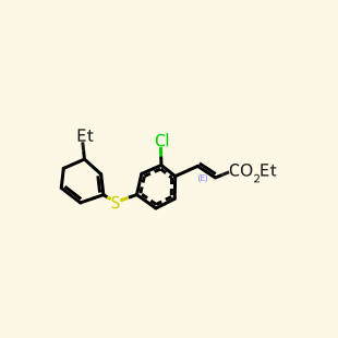 CCOC(=O)/C=C/c1ccc(SC2=CC(CC)CC=C2)cc1Cl